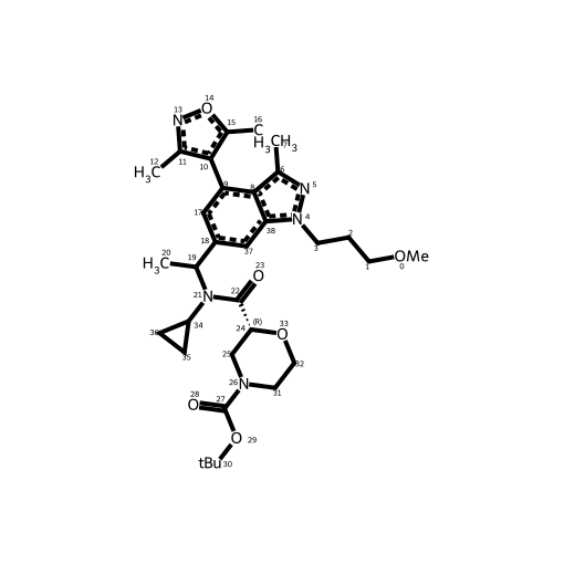 COCCCn1nc(C)c2c(-c3c(C)noc3C)cc(C(C)N(C(=O)[C@H]3CN(C(=O)OC(C)(C)C)CCO3)C3CC3)cc21